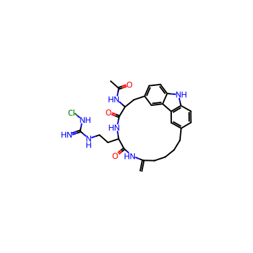 C=C1CCCCc2ccc3[nH]c4ccc(cc4c3c2)CC(NC(C)=O)C(=O)NC(CCNC(=N)NCl)C(=O)N1